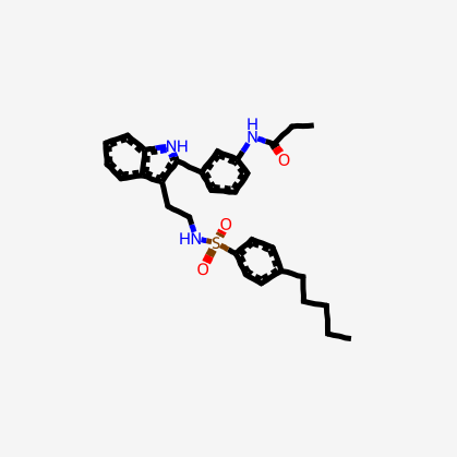 CCCCCc1ccc(S(=O)(=O)NCCc2c(-c3cccc(NC(=O)CC)c3)[nH]c3ccccc23)cc1